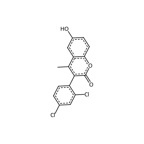 Cc1c(-c2ccc(Cl)cc2Cl)c(=O)oc2ccc(O)cc12